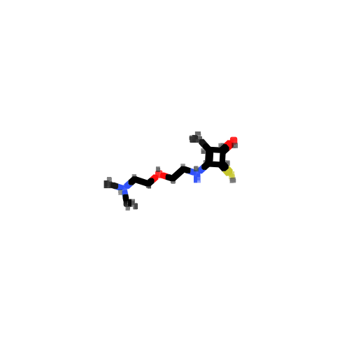 CCN(C)CCOCCNc1c(C(C)(C)C)c(=O)c1=S